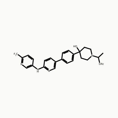 CC(=O)OC(C)N1CCC(O)(c2ccc(-c3ccc(Nc4ccc(C(F)(F)F)nc4)nc3)cc2)CC1